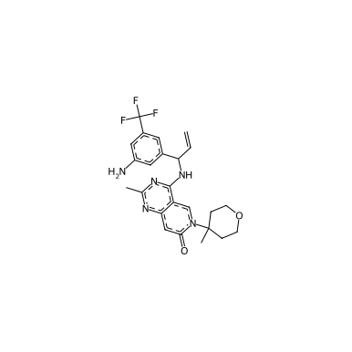 C=CC(Nc1nc(C)nc2cc(=O)n(C3(C)CCOCC3)cc12)c1cc(N)cc(C(F)(F)F)c1